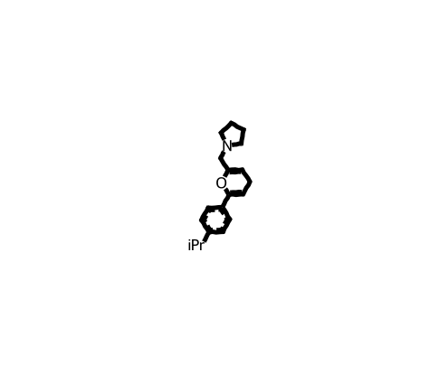 CC(C)c1ccc(C2=CCC=C(CN3CCCC3)O2)cc1